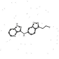 FCCc1noc2cc(Nc3n[nH]c4cccnc34)ccc12